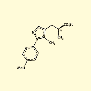 CCOC(=O)[C@@H](C)Cc1cnn(-c2ccc(OC)cc2)c1C